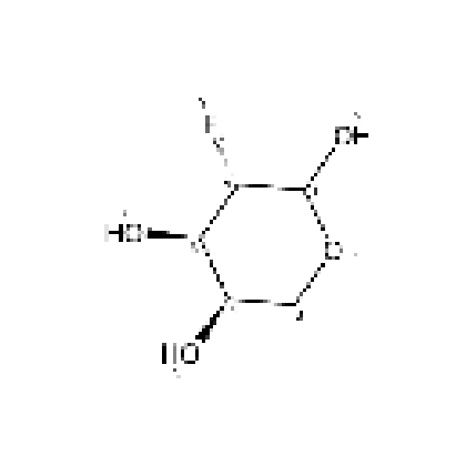 OC1OC[C@@H](O)[C@@H](O)[C@@H]1F